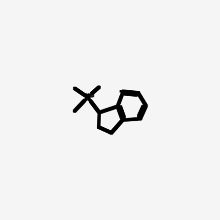 C[N+](C)(C)C1CCc2ccc[c]c21